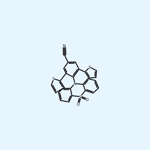 N#Cc1cc(-c2cccs2)c(N2c3ccccc3S(=O)(=O)c3ccccc32)c(-c2cccs2)c1